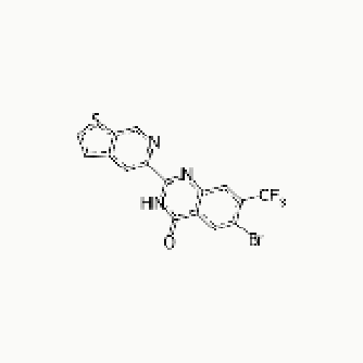 O=c1[nH]c(-c2cc3ccsc3cn2)nc2cc(C(F)(F)F)c(Br)cc12